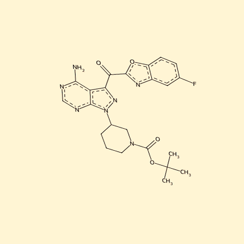 CC(C)(C)OC(=O)N1CCCC(n2nc(C(=O)c3nc4cc(F)ccc4o3)c3c(N)ncnc32)C1